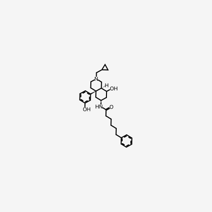 O=C(CCCCCc1ccccc1)N[C@@H]1CC(O)[C@@H]2CN(CC3CC3)CC[C@@]2(c2cccc(O)c2)C1